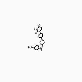 CN(CC1CCN(c2ccc(C3CCC(=O)NC3=O)nc2)CC1)C1CCC(N)CC1